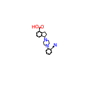 N#Cc1ccccc1N1CCN(C2CCc3c(C(=O)O)cccc32)CC1